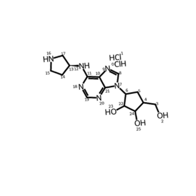 Cl.Cl.OCC1CC(n2cnc3c(N[C@H]4CCNC4)ncnc32)C(O)C1O